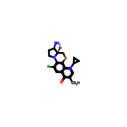 N[C@@H]1CCN2c3c(F)cc4c(=O)c(C(=O)O)cn(C5CC5)c4c3SC[C@H]12